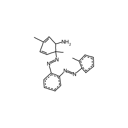 CC1=CC(N)C(C)(N=Nc2ccccc2N=Nc2ccccc2C)C=C1